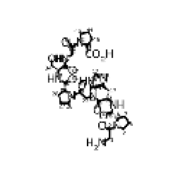 NCC(=O)N1CCC[C@H]1C(=O)N[C@@H](Cc1c[nH]cn1)C(=O)NCC(=O)N1CCC[C@H]1C(=O)N[C@@H](CO)C(=O)NCC(=O)N1CCC[C@H]1C(=O)O